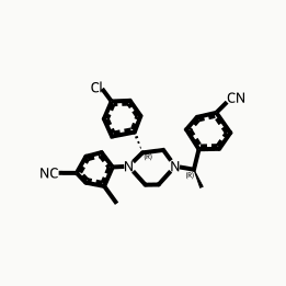 Cc1cc(C#N)ccc1N1CCN([C@H](C)c2ccc(C#N)cc2)C[C@H]1c1ccc(Cl)cc1